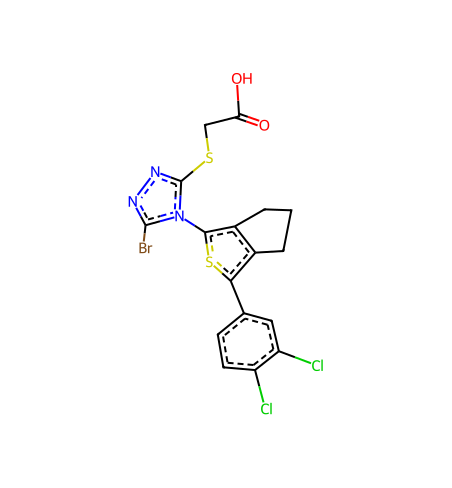 O=C(O)CSc1nnc(Br)n1-c1sc(-c2ccc(Cl)c(Cl)c2)c2c1CCC2